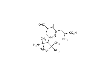 CC(C)(N)C(NCC(C=O)NC(=O)CC(N)C(=O)O)C(C)(C)N